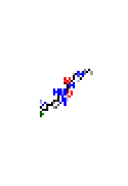 CC(C)N1CCC(c2nc(C(=O)Nc3cc4cc(-c5cncc(F)c5)ccc4nn3)co2)CC1